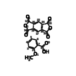 COc1ccccc1C(=O)O.O=c1oc(=O)c2cc3c(=O)oc(=O)c3cc12